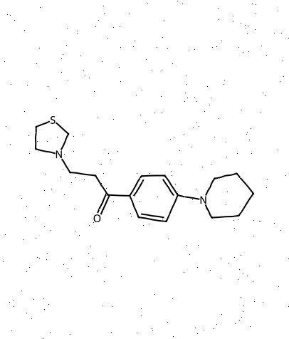 O=C(CCN1CCSC1)c1ccc(N2CCCCC2)cc1